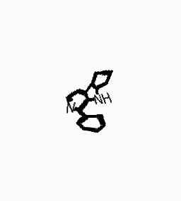 c1ccc(-c2nccc3c2[nH]c2ccccc23)cc1